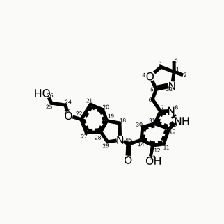 CC1(C)COC(Cc2n[nH]c3cc(O)c(C(=O)N4Cc5ccc(OCCO)cc5C4)cc23)=N1